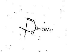 C=CB(OC)OC(C)(C)C